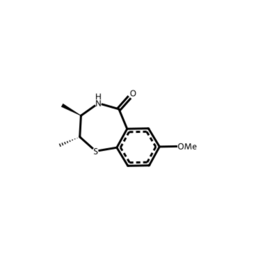 COc1ccc2c(c1)C(=O)N[C@H](C)[C@@H](C)S2